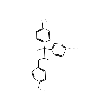 COc1ccc(CC(N)C(N)(c2ccc(OC)cc2)c2ccc(OC)cc2)cc1